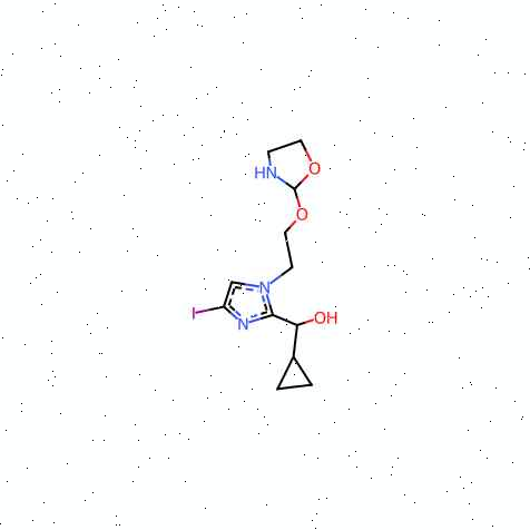 OC(c1nc(I)cn1CCOC1NCCO1)C1CC1